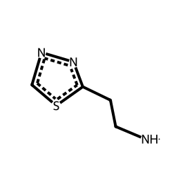 [NH]CCc1nncs1